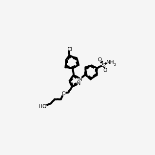 NS(=O)(=O)c1ccc(-n2nc(COCCCO)cc2-c2ccc(Cl)cc2)cc1